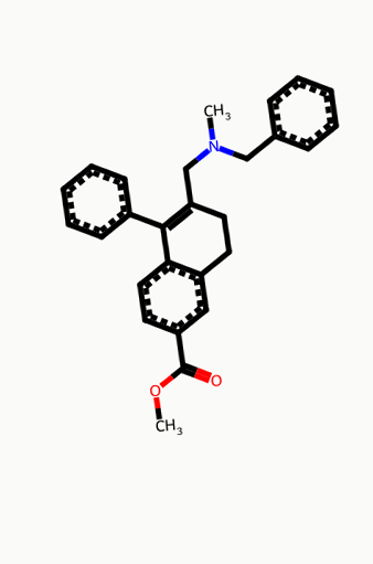 COC(=O)c1ccc2c(c1)CCC(CN(C)Cc1ccccc1)=C2c1ccccc1